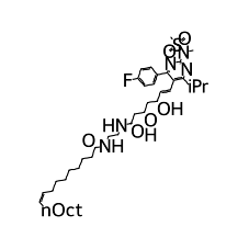 CCCCCCCC/C=C\CCCCCCCC(=O)NCCNC(=O)C[C@H](O)C[C@H](O)/C=C/c1c(-c2ccc(F)cc2)nc(N(C)S(C)(=O)=O)nc1C(C)C